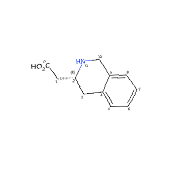 O=C(O)C[C@H]1Cc2ccccc2CN1